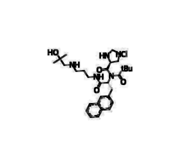 CC(C)(O)CNCCCNC(=O)[C@@H](Cc1ccc2ccccc2c1)N(C(=O)[C@@H]1CCCN1)C(=O)C(C)(C)C.Cl